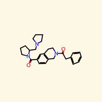 O=C(Cc1ccccc1)N1CCc2cc(C(=O)N3CCCC3CN3CCCC3)ccc2C1